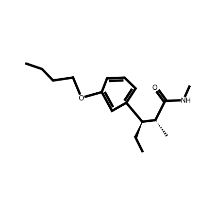 CCCCOc1cccc([C@H](CC)[C@@H](C)C(=O)NC)c1